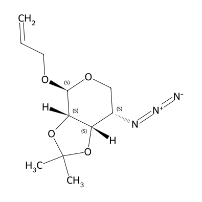 C=CCO[C@H]1OC[C@H](N=[N+]=[N-])[C@@H]2OC(C)(C)O[C@H]12